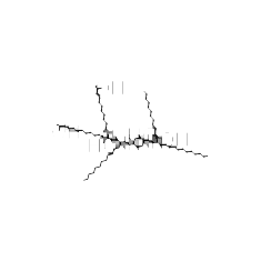 CCCCCCCCCC[C@H](O)CN(CCN(CCCCCCCCCCC(C)O)CCCCCCCCCCC(C)O)CCN1CCN(CCN(C[C@@H](O)CCCCCCCCCC)C[C@@H](O)CCCCCCCCCC)CC1